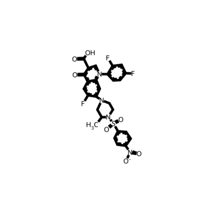 CC1CN(c2cc3c(cc2F)c(=O)c(C(=O)O)cn3-c2ccc(F)cc2F)CCN1S(=O)(=O)c1ccc([N+](=O)[O-])cc1